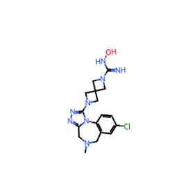 CN1Cc2cc(Cl)ccc2-n2c(nnc2N2CC3(CN(C(=N)NO)C3)C2)C1